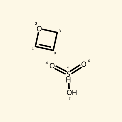 C1=COC1.O=[SH](=O)O